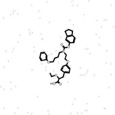 CCOC(Cc1ccc(OCCN(CCCCOc2ccccc2)C(=O)Oc2ccc3c(c2)CCC3)cc1)C(=O)O